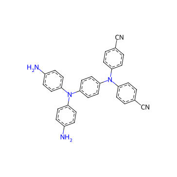 N#Cc1ccc(N(c2ccc(C#N)cc2)c2ccc(N(c3ccc(N)cc3)c3ccc(N)cc3)cc2)cc1